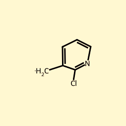 [CH2]c1cccnc1Cl